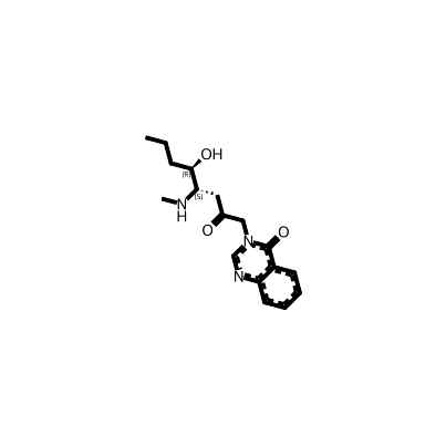 CCC[C@@H](O)[C@H](CC(=O)Cn1cnc2ccccc2c1=O)NC